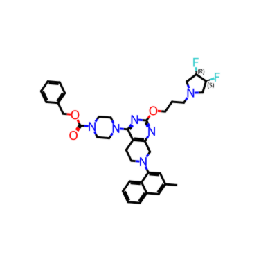 Cc1cc(N2CCc3c(nc(OCCCN4C[C@@H](F)[C@@H](F)C4)nc3N3CCN(C(=O)OCc4ccccc4)CC3)C2)c2ccccc2c1